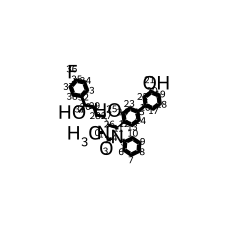 CN1C(=O)N(c2ccccc2)[C@H](c2ccc(-c3cccc(O)c3)cc2O)[C@H]1CCC[C@@H](O)c1ccc(F)cc1